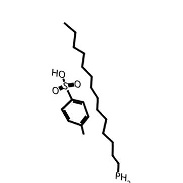 CCCCCCCCCCCCCCP.Cc1ccc(S(=O)(=O)O)cc1